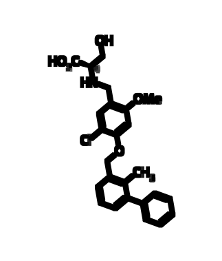 COc1cc(OCc2cccc(-c3ccccc3)c2C)c(Cl)cc1CN[C@H](CO)C(=O)O